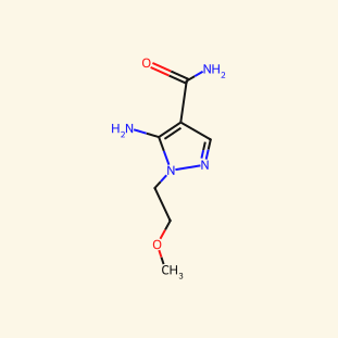 COCCn1ncc(C(N)=O)c1N